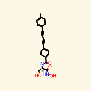 Cc1ccc(C#CC#Cc2ccc(C(=O)N[C@H](CO)C(=O)NO)cc2)cc1